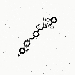 COC(CCCNC(=O)c1ccccc1O)C1CCC(CCN2CCN(c3ccc(F)cc3F)CC2)CC1